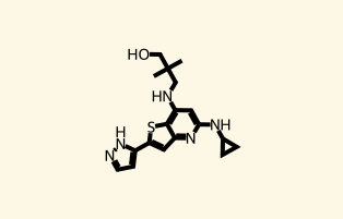 CC(C)(CO)CNc1cc(NC2CC2)nc2cc(-c3ccn[nH]3)sc12